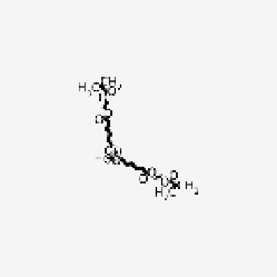 C=C(C)C(=O)OCCOC(=O)CCCCCOP(=O)(O)OCCCCCC(=O)OCCOC(=O)C(=C)C